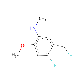 CNc1cc(CF)c(F)cc1OC